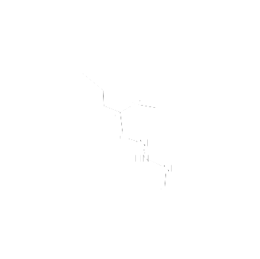 CCCC(ONNNC)SC